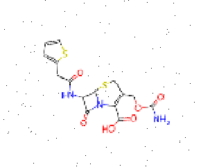 NC(=O)OCC1=C(C(=O)O)N2C(=O)C(NC(=O)Cc3cccs3)C2SC1